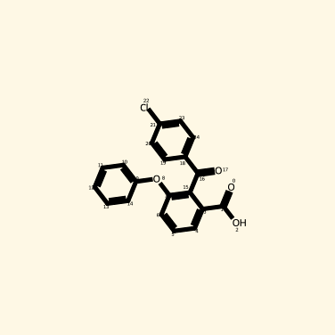 O=C(O)c1cccc(Oc2ccccc2)c1C(=O)c1ccc(Cl)cc1